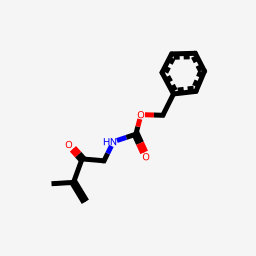 C=C(C)C(=O)CNC(=O)OCc1ccccc1